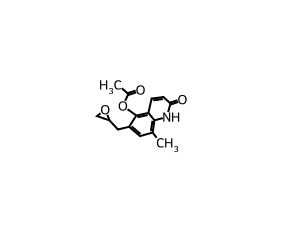 CC(=O)Oc1c(CC2CO2)cc(C)c2[nH]c(=O)ccc12